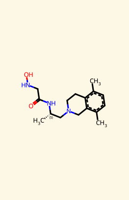 Cc1ccc(C)c2c1CCN(C[C@H](C)NC(=O)CNO)C2